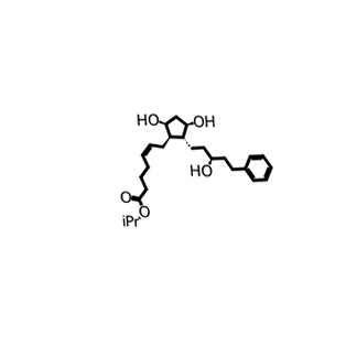 CC(C)OC(=O)CCC/C=C\C[C@@H]1[C@@H](CC[C@H](O)CCc2ccccc2)[C@H](O)C[C@@H]1O